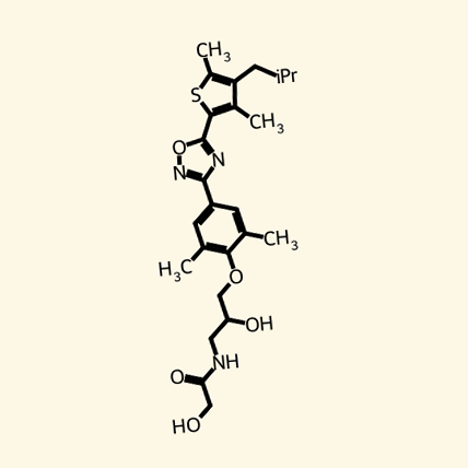 Cc1cc(-c2noc(-c3sc(C)c(CC(C)C)c3C)n2)cc(C)c1OCC(O)CNC(=O)CO